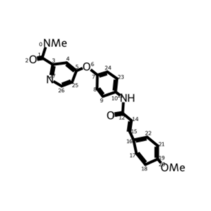 CNC(=O)c1cc(Oc2ccc(NC(=O)/C=C/c3ccc(OC)cc3)cc2)ccn1